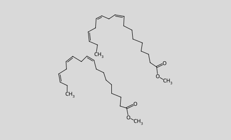 CC/C=C\C/C=C\C/C=C\CCCCCCCC(=O)OC.CC/C=C\C/C=C\C/C=C\CCCCCCCC(=O)OC